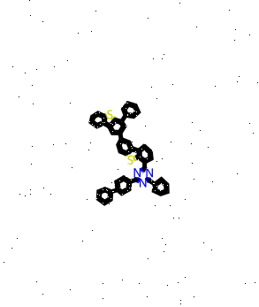 c1ccc(-c2ccc(-c3nc(-c4ccccc4)nc(-c4cccc5c4sc4ccc(-c6cc(-c7ccccc7)c7sc8ccccc8c7c6)cc45)n3)cc2)cc1